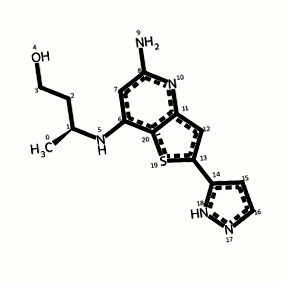 C[C@@H](CCO)Nc1cc(N)nc2cc(-c3ccn[nH]3)sc12